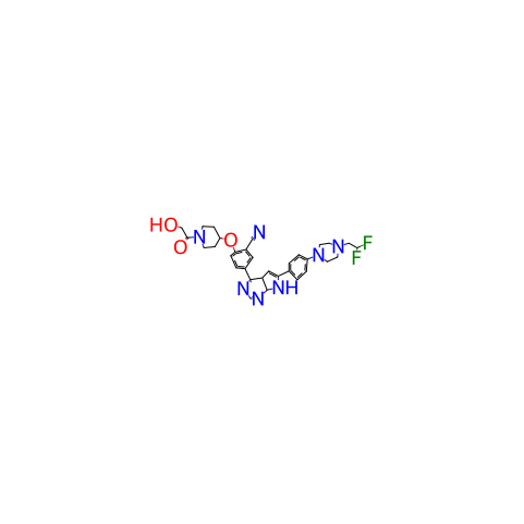 N#Cc1cc(C2=NC=NC3NC(c4ccc(N5CCN(CC(F)F)CC5)cc4)=CC23)ccc1OC1CCN(C(=O)CO)CC1